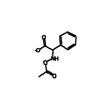 CC(=O)ONC(C([O])=O)c1ccccc1